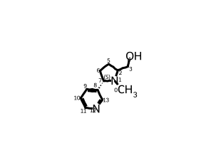 CN1C(CO)CC[C@H]1c1cccnc1